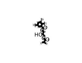 C=C(C)C(=O)OCC(O)COC(=O)c1cc(I)cc(I)c1I